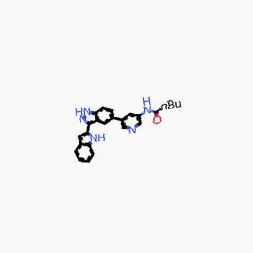 CCCCC(=O)Nc1cncc(-c2ccc3[nH]nc(-c4cc5ccccc5[nH]4)c3c2)c1